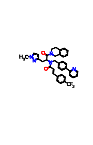 Cn1ccc(CC(C(=O)N2CCc3ccccc3C2)N(Cc2ccc(-c3ccccn3)cc2)C(=O)C=Cc2ccc(C(F)(F)F)cc2)n1